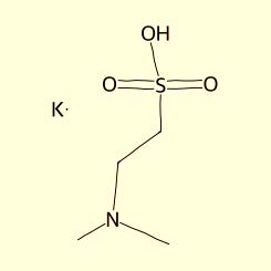 CN(C)CCS(=O)(=O)O.[K]